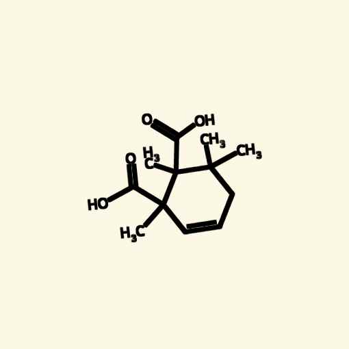 CC1(C)CC=CC(C)(C(=O)O)C1(C)C(=O)O